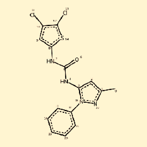 Cc1cc(NC(=O)Nc2cc(Cl)c(Cl)s2)n(-c2ccccc2)n1